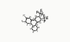 Cc1cc2c3ccccc3c3cc(C(F)(F)F)c(C(F)(F)F)cc3c2cc1C